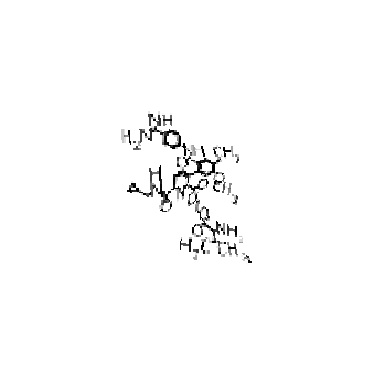 C=Cc1cc(C(=O)Nc2ccc(C(=N)N)cc2)c(-c2ccc(C(=O)NCC3CC3)nc2C(=O)OCCOC(=O)[C@@H](N)C(C)C)cc1OC